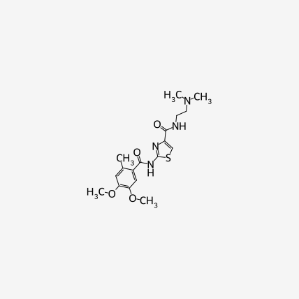 COc1cc(C)c(C(=O)Nc2nc(C(=O)NCCN(C)C)cs2)cc1OC